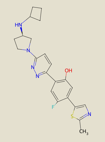 Cc1ncc(-c2cc(O)c(-c3ccc(N4CC[C@@H](NC5CCC5)C4)nn3)cc2F)s1